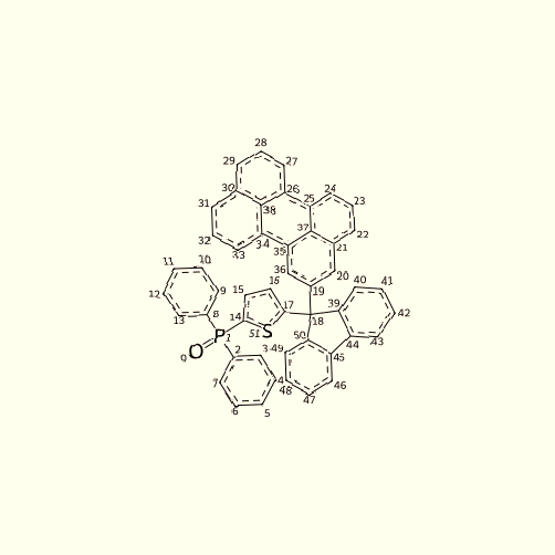 O=P(c1ccccc1)(c1ccccc1)c1ccc(C2(c3cc4cccc5c6cccc7cccc(c(c3)c45)c76)c3ccccc3-c3ccccc32)s1